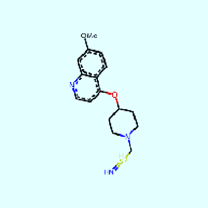 COc1ccc2c(OC3CCN(C[SH3]=N)CC3)ccnc2c1